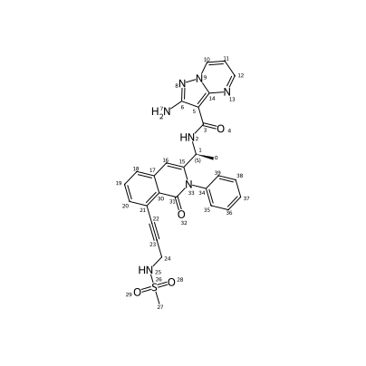 C[C@H](NC(=O)c1c(N)nn2cccnc12)c1cc2cccc(C#CCNS(C)(=O)=O)c2c(=O)n1-c1ccccc1